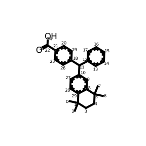 CC1(C)CCC(C)(C)c2cc(C(c3ccccc3)c3ccc(C(=O)O)cc3)ccc21